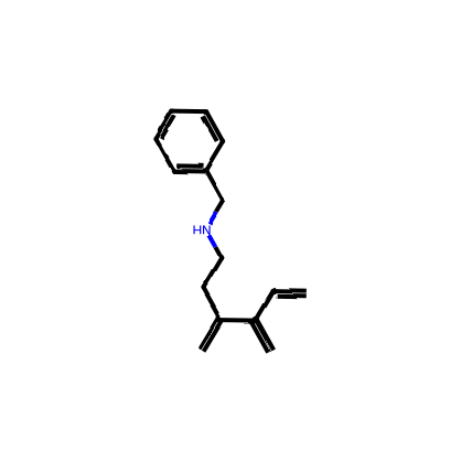 C=CC(=C)C(=C)CCNCc1ccccc1